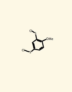 COc1ccc(SCl)cc1SCl